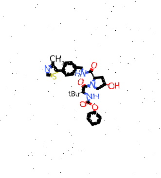 Cc1ncsc1-c1ccc(CNC(=O)[C@H]2C[C@H](O)CN2C(=O)[C@H](NC(=O)Oc2ccccc2)C(C)(C)C)cc1